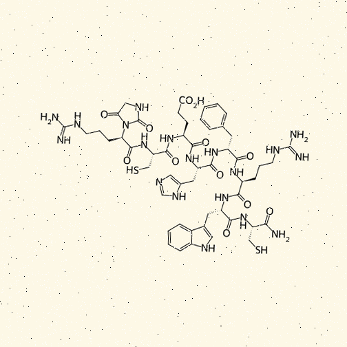 N=C(N)NCCC[C@H](NC(=O)[C@@H](Cc1ccccc1)NC(=O)[C@H](Cc1cnc[nH]1)NC(=O)[C@H](CCC(=O)O)NC(=O)[C@H](CS)NC(=O)[C@@H](CCCNC(=N)N)N1C(=O)CNC1=O)C(=O)N[C@@H](Cc1c[nH]c2ccccc12)C(=O)N[C@@H](CS)C(N)=O